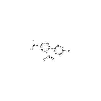 CC(=O)c1ccc(-c2ccc(Cl)cc2)c([N+](=O)[O-])c1